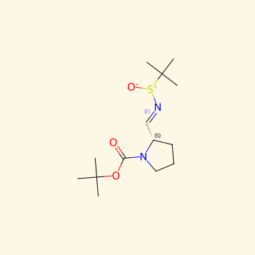 CC(C)(C)OC(=O)N1CCC[C@H]1/C=N/[S+]([O-])C(C)(C)C